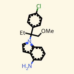 CCC(COC)(c1ccc(Cl)cc1)n1ccc2c(N)cccc21